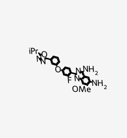 COc1cc2nc(-c3ccc(Oc4cccc(-c5nnc(C(C)C)o5)c4)cc3F)nc(N)c2cc1N